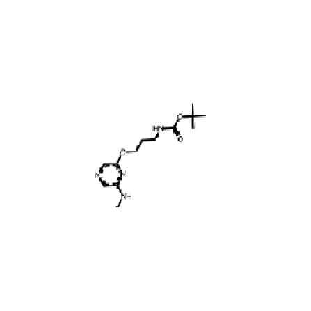 CNc1cncc(OCCCNC(=O)OC(C)(C)C)n1